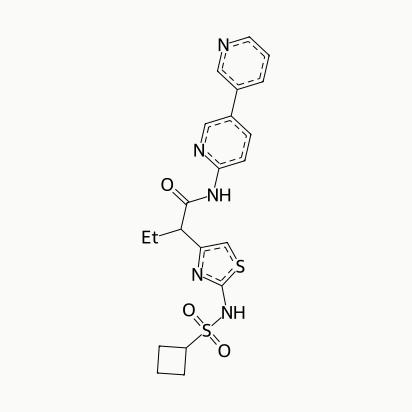 CCC(C(=O)Nc1ccc(-c2cccnc2)cn1)c1csc(NS(=O)(=O)C2CCC2)n1